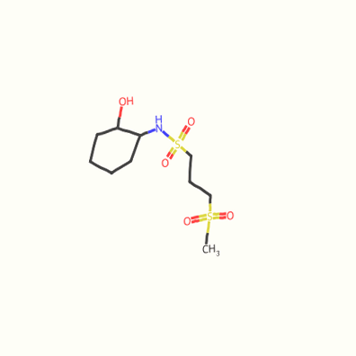 CS(=O)(=O)CCCS(=O)(=O)NC1CCCCC1O